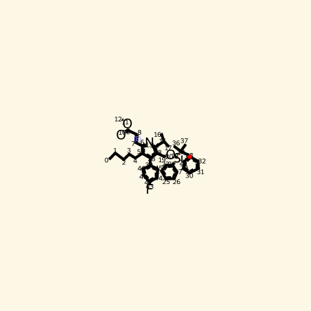 CCCCCc1c(/C=C/C(=O)OC)nc(C(C)C)c(CO[Si](c2ccccc2)(c2ccccc2)C(C)(C)C)c1-c1ccc(F)cc1